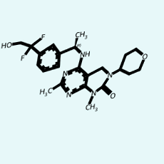 Cc1nc(N[C@H](C)c2cccc(C(F)(F)CO)c2)c2c(n1)N(C)C(=O)N(C1CCOCC1)C2